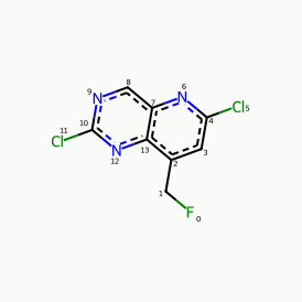 FCc1cc(Cl)nc2cnc(Cl)nc12